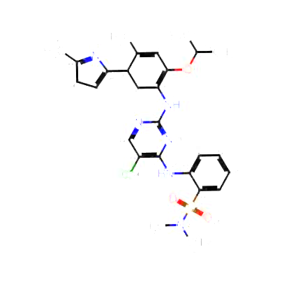 CC1=CC(OC(C)C)=C(Nc2ncc(Cl)c(Nc3ccccc3S(=O)(=O)N(C)C)n2)CC1C1=CCC(C)=N1